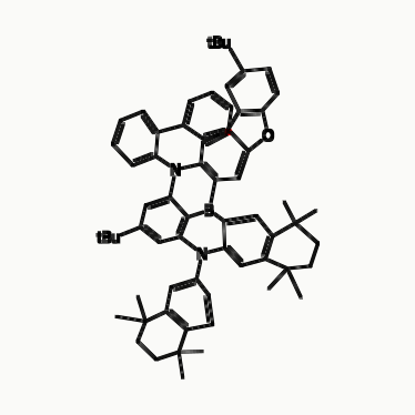 CC(C)(C)c1cc2c3c(c1)N(c1ccccc1-c1ccccc1)c1cc4c(cc1B3c1cc3c(cc1N2c1ccc2c(c1)C(C)(C)CCC2(C)C)C(C)(C)CCC3(C)C)oc1ccc(C(C)(C)C)cc14